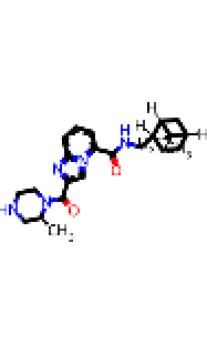 C[C@H]1CNCCN1C(=O)c1cn2c(C(=O)NC[C@@H]3CC[C@H]4C[C@H]3C4(C)C)cccc2n1